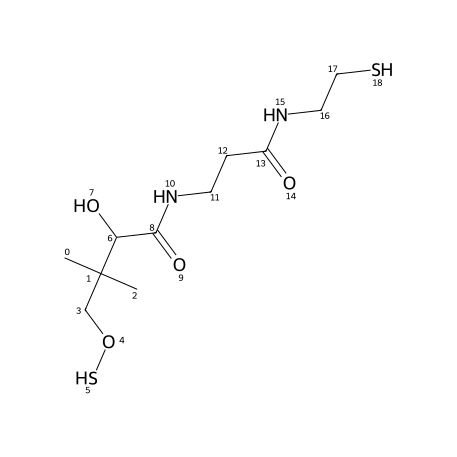 CC(C)(COS)C(O)C(=O)NCCC(=O)NCCS